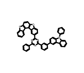 c1ccc(-c2nc(-c3cccc(-c4ccc5c(c4)c4ccccc4n5-c4ccccc4)c3)nc(-c3ccc4oc5ccc6sc7ccccc7c6c5c4c3)n2)cc1